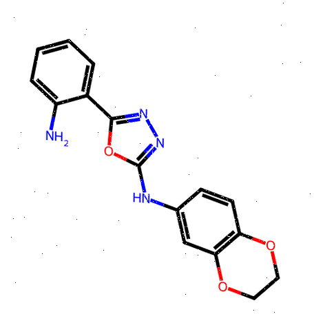 Nc1ccccc1-c1nnc(Nc2ccc3c(c2)OCCO3)o1